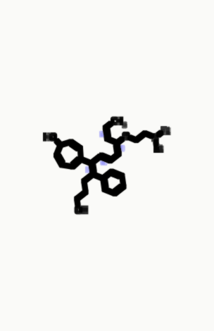 C\C=C/C(=C\C=C\C(C1=CC=CC(O)C=C1)=C(\CCCO)c1ccccc1)OCCN(CC)CC